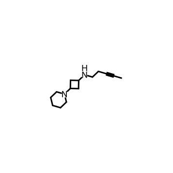 CC#CCCNC1CC(N2CCCCC2)C1